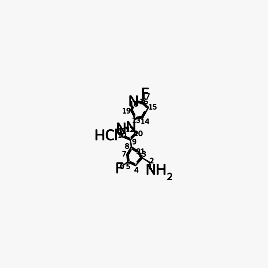 Cl.NCc1cc(F)cc(-c2cnn(-c3ccc(F)nc3)c2)c1